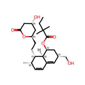 CCC(C)(C)C(=O)O[C@H]1C[C@H](CO)C=C2C=C[C@H](C)[C@H](CC[C@@H]3C[C@@H](O)CC(=O)O3)[C@H]21